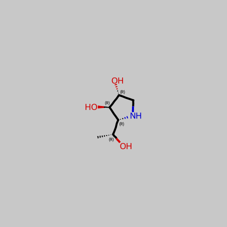 C[C@@H](O)[C@H]1NC[C@@H](O)[C@@H]1O